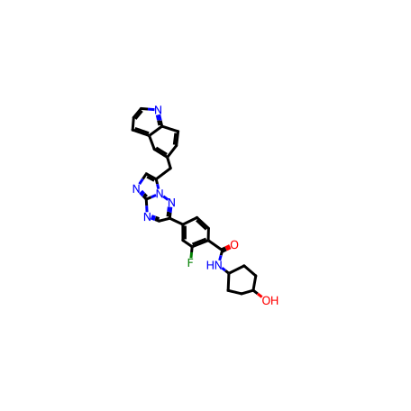 O=C(NC1CCC(O)CC1)c1ccc(-c2cnc3ncc(Cc4ccc5ncccc5c4)n3n2)cc1F